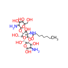 CCCCCCCC(=O)N[C@H]1[C@H](OC2[C@@H](CO)O[C@@H](O)[C@H](N)[C@H]2O)O[C@H](CO)C(O[C@@H]2O[C@H](CO)[C@@H](O)[C@H](O)[C@H]2N)[C@@H]1O